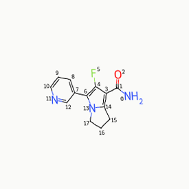 NC(=O)c1c(F)c(-c2cccnc2)n2c1CCC2